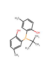 Cc1ccc(O)c(P(c2cc(C)ccc2O)C(C)(C)C)c1